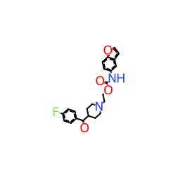 O=C(Nc1ccc2occc2c1)OCCN1CCC(C(=O)c2ccc(F)cc2)CC1